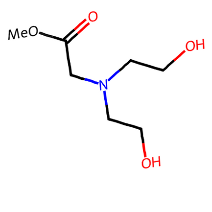 COC(=O)CN(CCO)CCO